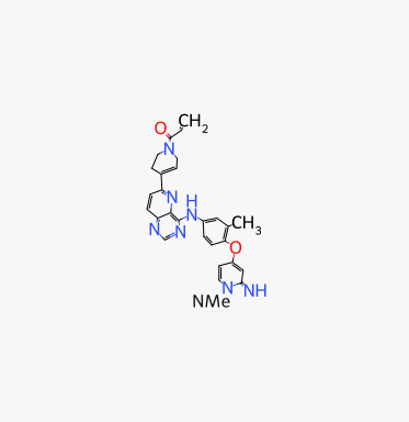 C=CC(=O)N1CC=C(c2ccc3ncnc(Nc4ccc(Oc5ccn(NC)c(=N)c5)c(C)c4)c3n2)CC1